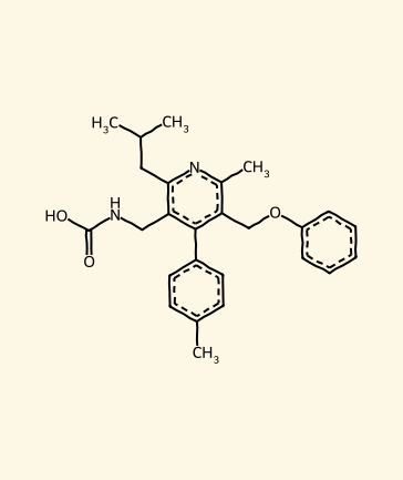 Cc1ccc(-c2c(COc3ccccc3)c(C)nc(CC(C)C)c2CNC(=O)O)cc1